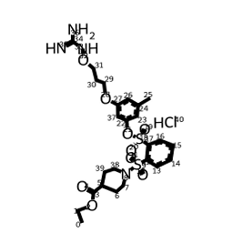 CCOC(=O)C1CCN(S(=O)(=O)c2ccccc2S(=O)(=O)Oc2cc(C)cc(OCCCONC(=N)N)c2)CC1.Cl